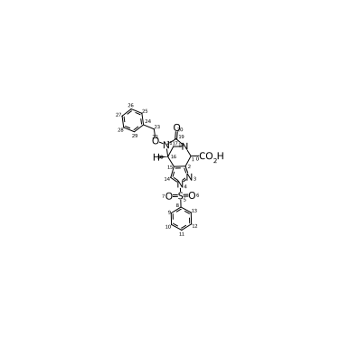 O=C(O)C1c2nn(S(=O)(=O)c3ccccc3)cc2[C@H]2CN1C(=O)N2OCc1ccccc1